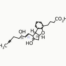 CC#CCC[C@H](O)/C=C/C1[C@H](O)C[C@@H]2Oc3c(CCCC(=O)O)cccc3[C@H]12